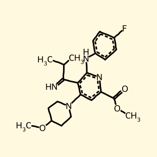 COC(=O)c1cc(N2CCC(OC)CC2)c(C(=N)C(C)C)c(Nc2ccc(F)cc2)n1